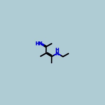 CCN/C(C)=C(/C)C(C)=N